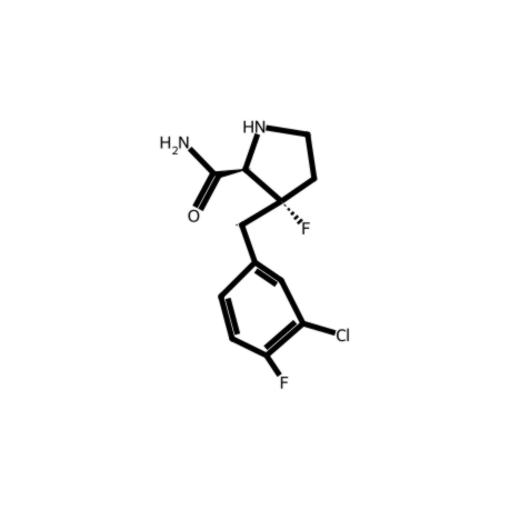 NC(=O)[C@H]1NCC[C@@]1(F)[CH]c1ccc(F)c(Cl)c1